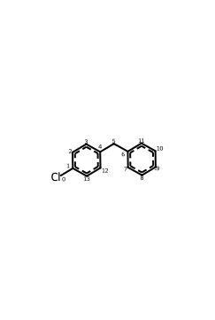 Clc1ccc(Cc2cc[c]cc2)cc1